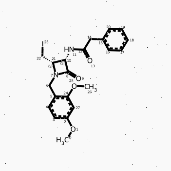 COc1ccc(CN2C(=O)[C@@H](NC(=O)Cc3ccccc3)[C@H]2CI)c(OC)c1